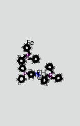 CN(C)c1ccc(P(C2CCCCC2)C2CCCCC2)cc1.[Fe].c1ccc(CP(Cc2ccccc2)Cc2ccccc2)cc1.c1ccc(CP(Cc2ccccc2)Cc2ccccc2)cc1